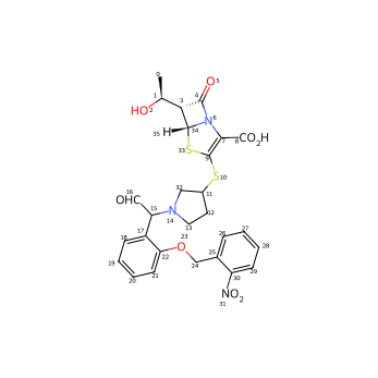 C[C@H](O)[C@@H]1C(=O)N2C(C(=O)O)=C(SC3CCN(C(C=O)c4ccccc4OCc4ccccc4[N+](=O)[O-])C3)S[C@H]12